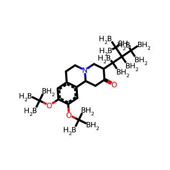 BC(B)(B)Oc1cc2c(cc1OC(B)(B)B)C1CC(=O)C(C(B)(B)C(B)(C(B)(B)B)C(B)(B)B)CN1CC2